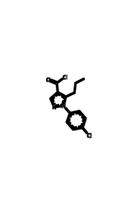 CCCc1c(C(=O)Cl)cnn1-c1ccc(Cl)cc1